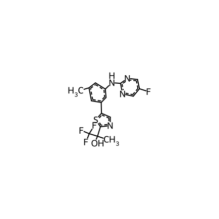 Cc1cc(Nc2ncc(F)cn2)cc(-c2cnc(C(C)(O)C(F)(F)F)s2)c1